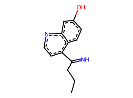 CCCC(=N)c1ccnc2cc(O)ccc12